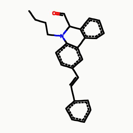 CCCCN1c2ccc(/C=C/c3ccccc3)cc2-c2ccccc2C1C=O